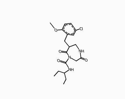 CCC(CC)NC(=O)N1CC(=O)NCC(Cc2cc(Cl)ccc2OC)C1=O